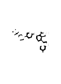 CN(C)C(C)(C)[C@H]1CN(c2ccc(Nc3ccc(-c4cnc5cc(F)ccn45)c4c3C(=O)NC4)nc2)CCO1